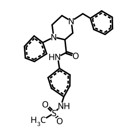 CS(=O)(=O)Nc1ccc(NC(=O)C2CN(Cc3ccccc3)CCN2c2ccccc2)cc1